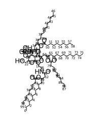 CCCCCCCCCCC[C@H](CC(=O)NCCO[C@@H]1OC(CO)[C@@H](OP(=O)(O)O)C(NC(=O)C[C@@H](CCCCCCCCCCC)OC(=O)CCCCCCCCC)C1NC(=O)C[C@@H](CCCCCCCCCCC)OC(=O)CCCCCCCCC)OC(=O)CCCCCCCCC